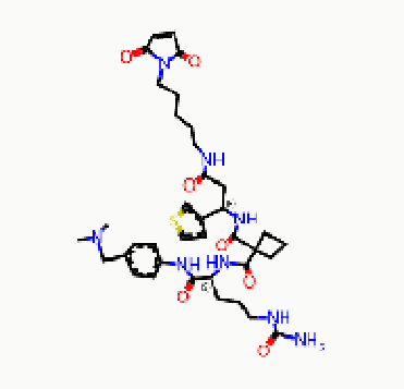 CN(C)Cc1ccc(NC(=O)[C@H](CCCNC(N)=O)NC(=O)C2(C(=O)N[C@H](CC(=O)NCCCCCN3C(=O)C=CC3=O)c3ccsc3)CCC2)cc1